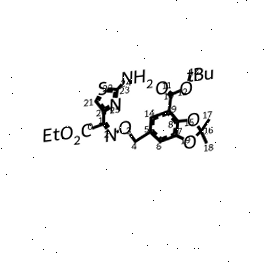 CCOC(=O)C(=NOCc1cc2c(c(C(=O)OC(C)(C)C)c1)OC(C)(C)O2)c1csc(N)n1